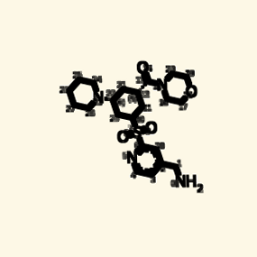 NCc1ccnc(S(=O)(=O)C2C[C@@H](C(=O)N3CCOCC3)C[C@@H](N3CCCCC3)C2)c1